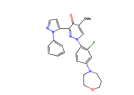 COc1cn(-c2ccc(N3CCCOCC3)cc2F)nc(-c2ccnn2-c2ccccc2)c1=O